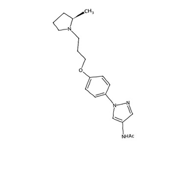 CC(=O)Nc1cnn(-c2ccc(OCCCN3CCC[C@H]3C)cc2)c1